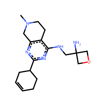 CN1CCc2c(nc(C3CC=CCC3)nc2NCC2(N)COC2)C1